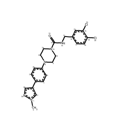 Cn1cc(-c2ccc(N3CCN(C(=O)NCc4ccc(Cl)c(Cl)c4)CC3)cc2)cn1